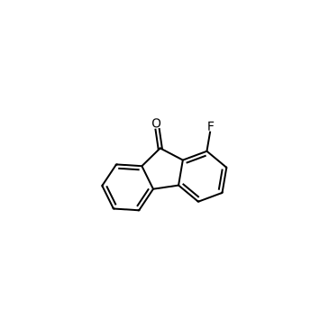 O=C1c2ccccc2-c2cccc(F)c21